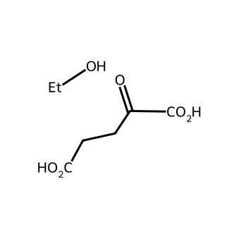 CCO.O=C(O)CCC(=O)C(=O)O